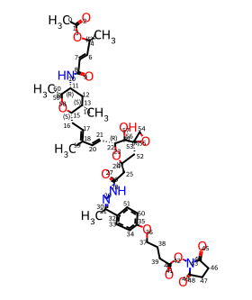 CC(=O)O[C@@H](C)C=CC(=O)N[C@@H]1C[C@H](C)[C@H](CC=C(C)C=C[C@H]2O[C@H](CC(=O)NN=C(C)c3ccc(OCCCC(=O)ON4C(=O)CCC4=O)cc3)C[C@@]3(CO3)[C@@H]2O)O[C@@H]1C